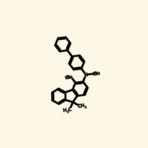 CC(C)(C)c1c(N(c2ccc(-c3ccccc3)cc2)C(C)(C)C)ccc2c1-c1ccccc1C2(C)C